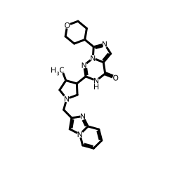 CC1CN(Cc2cn3ccccc3n2)CC1c1nn2c(C3CCOCC3)ncc2c(=O)[nH]1